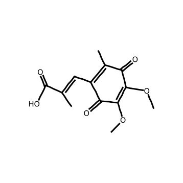 COC1=C(OC)C(=O)C(C=C(C)C(=O)O)=C(C)C1=O